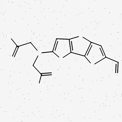 O=Cc1cc2sc3cc(N(CC(=O)O)CC(=O)O)sc3c2s1